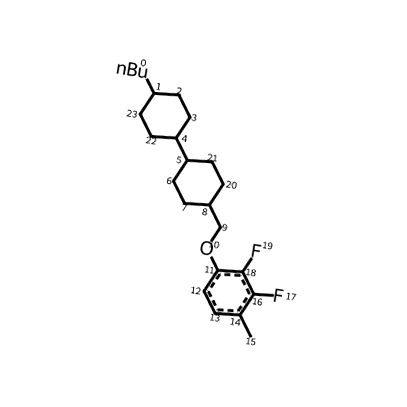 CCCCC1CCC(C2CCC(COc3ccc(C)c(F)c3F)CC2)CC1